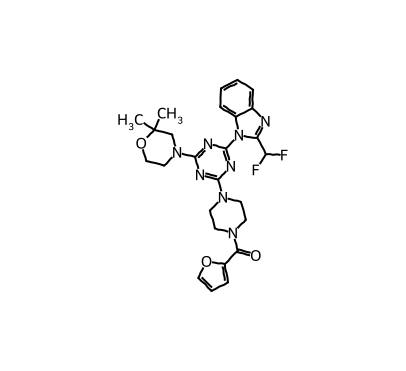 CC1(C)CN(c2nc(N3CCN(C(=O)c4ccco4)CC3)nc(-n3c(C(F)F)nc4ccccc43)n2)CCO1